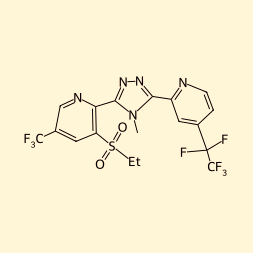 CCS(=O)(=O)c1cc(C(F)(F)F)cnc1-c1nnc(-c2cc(C(F)(F)C(F)(F)F)ccn2)n1C